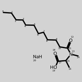 CCCCCCCCCCCC(=O)N(C)C(C)C(=O)O.[NaH]